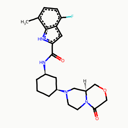 Cc1ccc(F)c2cc(C(=O)N[C@@H]3CCC[C@H](N4CCN5C(=O)COC[C@@H]5C4)C3)[nH]c12